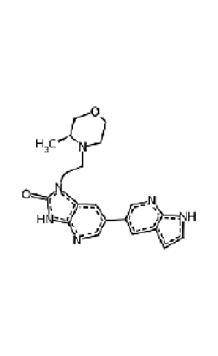 C[C@H]1COCCN1CCn1c(=O)[nH]c2ncc(-c3cnc4[nH]ccc4c3)cc21